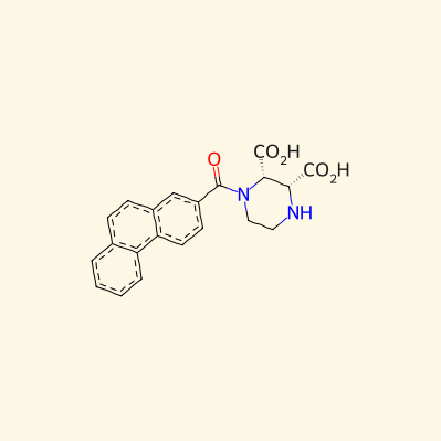 O=C(O)[C@@H]1[C@H](C(=O)O)NCCN1C(=O)c1ccc2c(ccc3ccccc32)c1